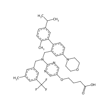 Cc1cc(CN(Cc2cc(N3CCOCC3)ccc2-c2cc(C(C)C)ccc2C)c2ncc(OCCCC(=O)O)cn2)cc(C(F)(F)F)c1